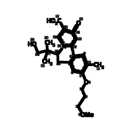 COCCCOc1cc2c(cc1C)-c1cc(=O)c(C(=O)O)cn1C(C(C)(C)CO)C2